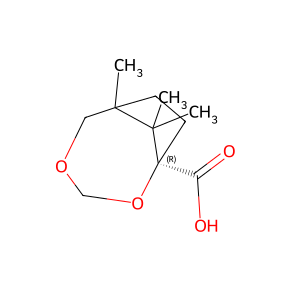 CC12CC[C@@](C(=O)O)(OCOC1)C2(C)C